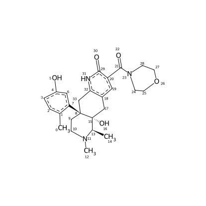 Cc1ccc(O)cc1[C@]12CCN(C)[C@H](C)[C@]1(O)Cc1cc(C(=O)N3CCOCC3)c(=O)[nH]c1C2